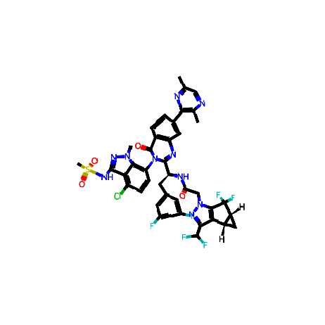 Cc1cnc(C)c(-c2ccc3c(=O)n(-c4ccc(Cl)c5c(NS(C)(=O)=O)nn(C)c45)c([C@H](Cc4cc(F)cc(F)c4)NC(=O)Cn4nc(C(F)F)c5c4C(F)(F)[C@@H]4C[C@H]54)nc3c2)n1